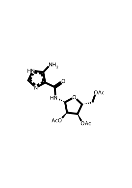 CC(=O)OC[C@H]1O[C@@H](NC(=O)c2nc[nH]c2N)[C@H](OC(C)=O)[C@@H]1OC(C)=O